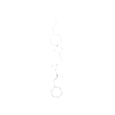 CC/C(=C\c1ccccc1)[C@H]1C[C@@H]1NC1CC2(CCN(CCO)CC2)C1